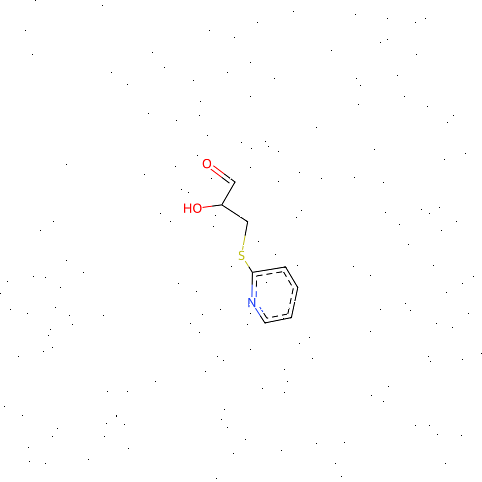 O=CC(O)CSc1ccccn1